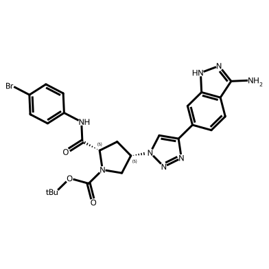 CC(C)(C)OC(=O)N1C[C@@H](n2cc(-c3ccc4c(N)n[nH]c4c3)nn2)C[C@H]1C(=O)Nc1ccc(Br)cc1